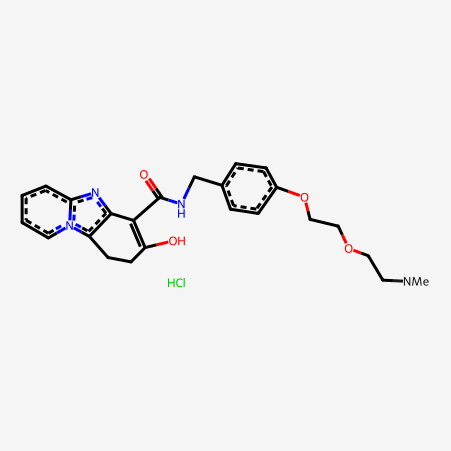 CNCCOCCOc1ccc(CNC(=O)C2=C(O)CCc3c2nc2ccccn32)cc1.Cl